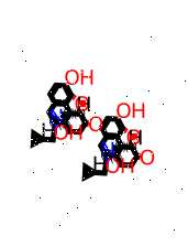 O=C1CC[C@@]2(O)[C@H]3Cc4ccc(O)c5c4[C@@]2(CCN3CC2CC2)[C@H]1O5.O=C1CC[C@@]2(O)[C@H]3Cc4ccc(O)c5c4[C@@]2(CCN3CC2CC2)[C@H]1O5